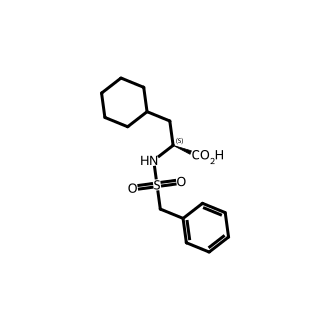 O=C(O)[C@H](CC1CCCCC1)NS(=O)(=O)Cc1ccccc1